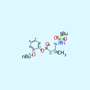 CCCCOc1ccccc1OC(=O)CC(C)CNS(=O)(=O)C(C)(C)C